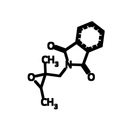 CC1OC1(C)CN1C(=O)c2ccccc2C1=O